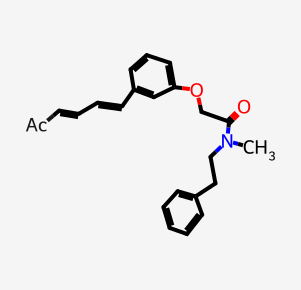 CC(=O)/C=C/C=C/c1cccc(OCC(=O)N(C)CCc2ccccc2)c1